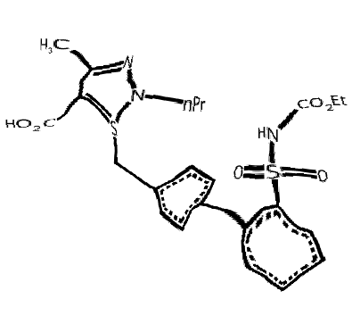 CCCN1N=C(C)C(C(=O)O)=S1Cc1ccc(-c2ccccc2S(=O)(=O)NC(=O)OCC)cc1